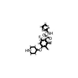 Cc1c(OC2CCNCC2)cc(F)c(S(=O)(=O)Nc2nccs2)c1F